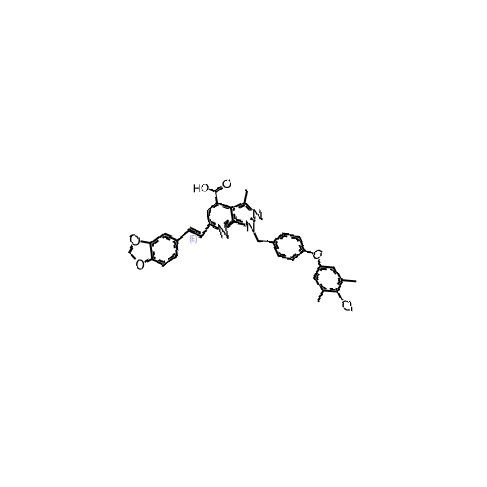 Cc1cc(Oc2ccc(Cn3nc(C)c4c(C(=O)O)cc(/C=C/c5ccc6c(c5)OCO6)nc43)cc2)cc(C)c1Cl